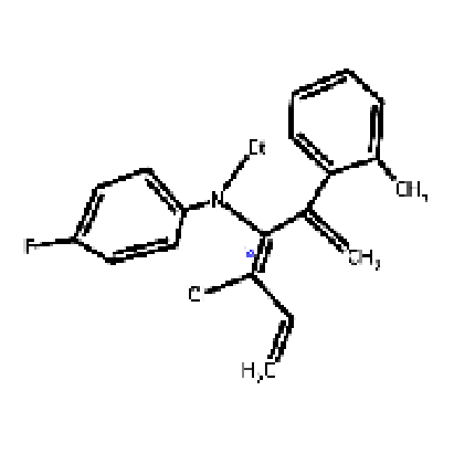 C=C/C(Cl)=C(\C(=C)c1ccccc1C)N(CC)c1ccc(F)cc1